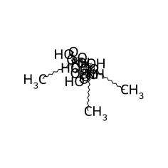 CCCCCCCCCCCCCC(=O)N[C@H]1[C@@H](OC(CC(=O)O)CC(=O)O)O[C@H](COC(=O)[C@@H](CCC(=O)O)NC(=O)CCCCCCCCCCCCC)[C@@H](O)[C@@H]1OC(=O)CCCCCCCCCCCCC